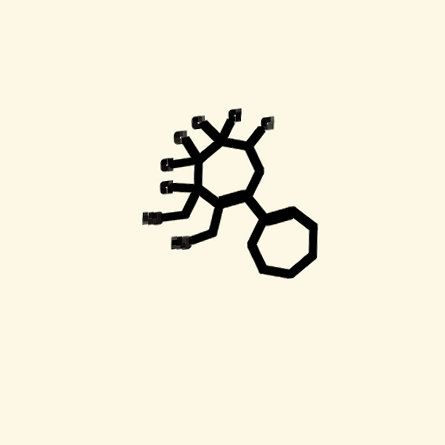 OCC1=C(C2=CCCCCC2)CC(Cl)C(Cl)(Cl)C(Cl)(Cl)C1(Cl)CO